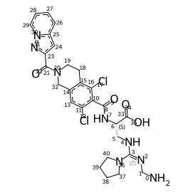 NC/N=C(/NC[C@H](NC(=O)c1c(Cl)cc2c(c1Cl)CCN(C(=O)c1cc3ccccn3n1)C2)C(=O)O)N1CCCC1